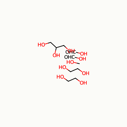 CO.O=CO.O=CO.OCC(O)CO.OCCO.OCCO